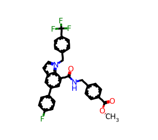 COC(=O)c1ccc(CNC(=O)c2cc(-c3ccc(F)cc3)cc3ccn(Cc4ccc(C(F)(F)F)cc4)c23)cc1